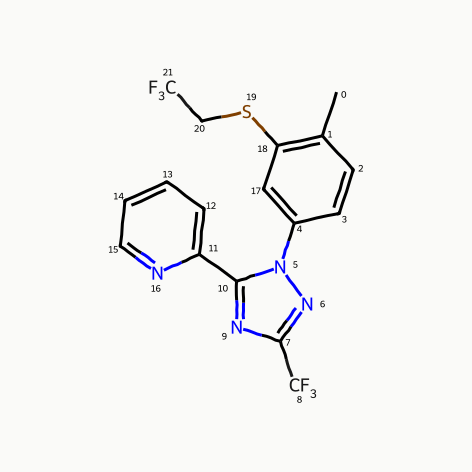 Cc1ccc(-n2nc(C(F)(F)F)nc2-c2ccccn2)cc1SCC(F)(F)F